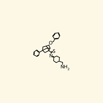 NCC1CCC(=NC(=S)C23CC4CC(c5ccccc5)(CC2C4OCc2ccccc2)C3)CC1